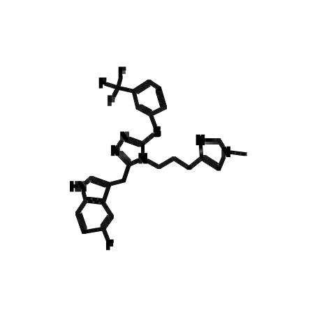 Cn1cnc(CCCn2c(Cc3c[nH]c4ccc(F)cc34)nnc2Sc2cccc(C(F)(F)F)c2)c1